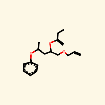 C=CCOCC(CC(C)Oc1ccccc1)OC(=C)CC